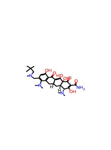 CN(Cc1cc(O)c2c(c1N(C)C)C[C@H]1C[C@H]3[C@H](N(C)C)C(O)=C(C(N)=O)C(=O)[C@@]3(O)C(O)=C1C2=O)CC(C)(C)C